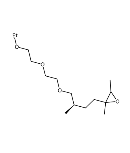 CCOCCOCCOC[C@H](C)CCC1(C)OC1C